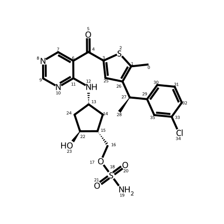 Cc1sc(C(=O)c2cncnc2N[C@@H]2C[C@H](COS(N)(=O)=O)[C@@H](O)C2)cc1[C@H](C)c1cccc(Cl)c1